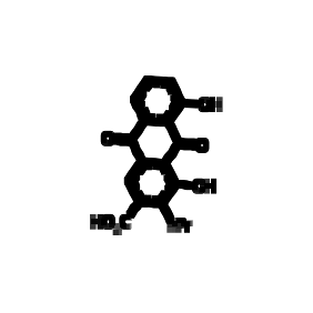 CCCc1c(C(=O)O)cc2c(c1O)C(=O)c1c(O)cccc1C2=O